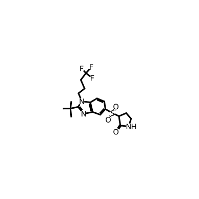 CC(C)(C)c1nc2cc(S(=O)(=O)C3CCNC3=O)ccc2n1CCCC(F)(F)F